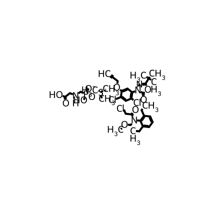 C#CCOc1cc(-n2nc(C(C)(C)C)oc2=O)c(Cl)cc1Cl.CCc1cccc(CC)c1N(COC)C(=O)CCl.C[S+](C)C.O=C(O)CNCP(=O)([O-])O